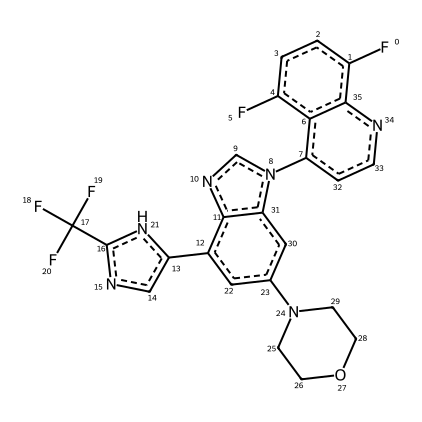 Fc1ccc(F)c2c(-n3cnc4c(-c5cnc(C(F)(F)F)[nH]5)cc(N5CCOCC5)cc43)ccnc12